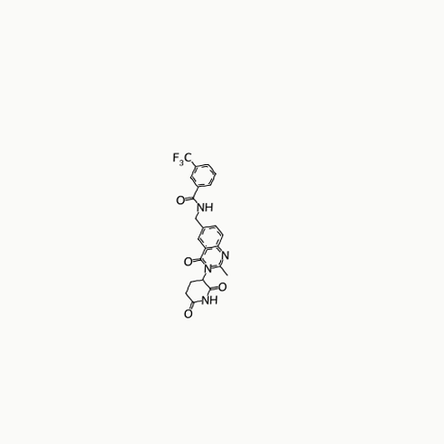 Cc1nc2ccc(CNC(=O)c3cccc(C(F)(F)F)c3)cc2c(=O)n1C1CCC(=O)NC1=O